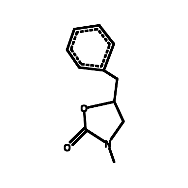 CN1CC(Cc2ccccc2)OC1=O